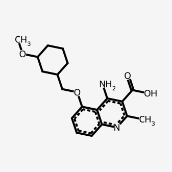 COC1CCCC(COc2cccc3nc(C)c(C(=O)O)c(N)c23)C1